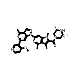 COc1ccncc1-c1cc2c(cnn2-c2cc3c(c(C)n2)c(C)c(C(=O)N2C[C@@H](C)N[C@@H](C)C2)n3C)c(C)n1